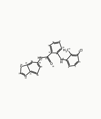 Cc1c(Cl)cccc1Nc1ccccc1C(=O)Nc1ccc2ncsc2c1